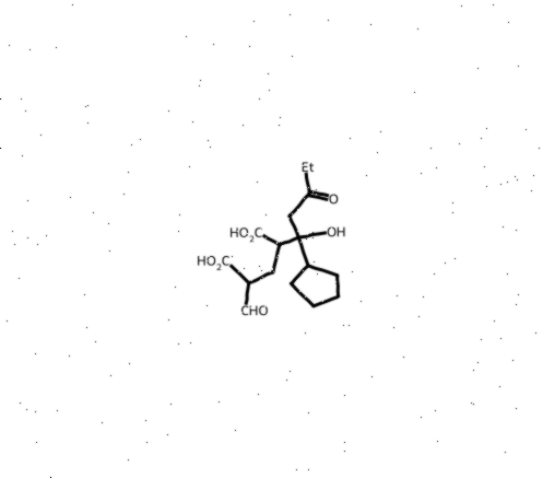 CCC(=O)CC(O)(C1CCCC1)C(CC(C=O)C(=O)O)C(=O)O